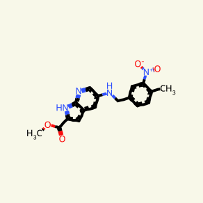 COC(=O)c1cc2cc(NCc3ccc(C)c([N+](=O)[O-])c3)cnc2[nH]1